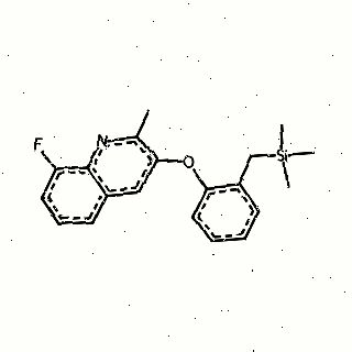 Cc1nc2c(F)cccc2cc1Oc1ccccc1C[Si](C)(C)C